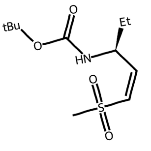 CC[C@@H](/C=C\S(C)(=O)=O)NC(=O)OC(C)(C)C